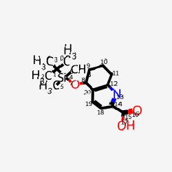 CC(C)(C)[Si](C)(C)OC1CCCc2nc(C(=O)O)ccc21